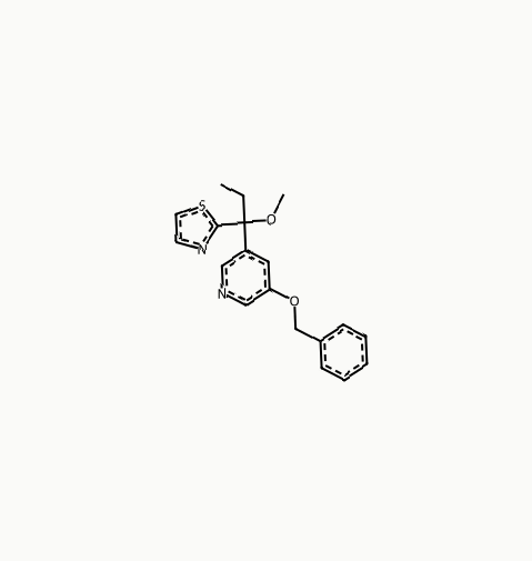 CCC(OC)(c1cncc(OCc2ccccc2)c1)c1nccs1